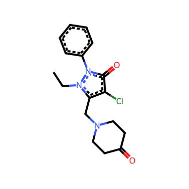 CCn1c(CN2CCC(=O)CC2)c(Cl)c(=O)n1-c1ccccc1